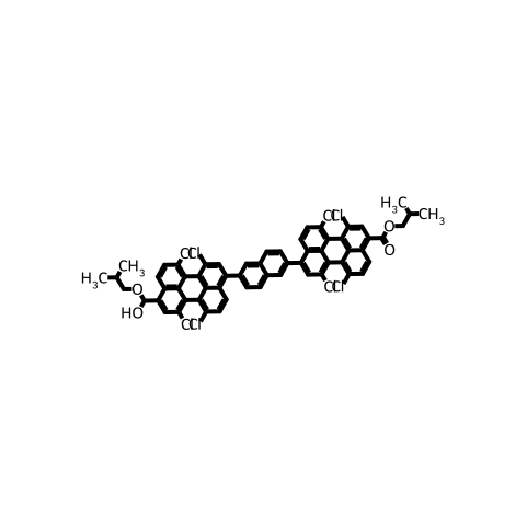 CC(C)COC(=O)c1cc(Cl)c2c3c(Cl)ccc4c(-c5ccc6cc(-c7cc(Cl)c8c9c(Cl)ccc%10c(C(O)OCC(C)C)cc(Cl)c(c%11c(Cl)ccc7c8%11)c%109)ccc6c5)cc(Cl)c(c5c(Cl)ccc1c25)c43